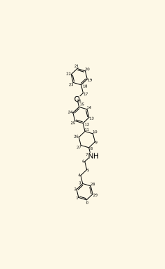 c1ccc(CCCNC2CCC(c3ccc(OCc4ccccc4)cc3)CC2)cc1